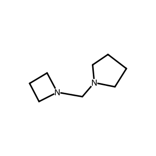 C1CCN(CN2CCC2)C1